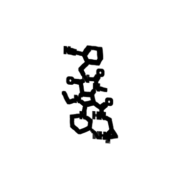 CCn1c(N2CCC[C@@H](N)C2)c(C(=O)NCC2CC2)c2c1c(=O)n(Cc1ccccc1C#N)c(=O)n2C